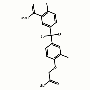 CCC(CC)(c1ccc(OCC(=O)C(C)(C)C)c(C)c1)c1ccc(C)c(C(=O)OC)c1